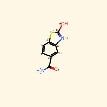 NC(=O)c1ccc2sc(O)nc2c1